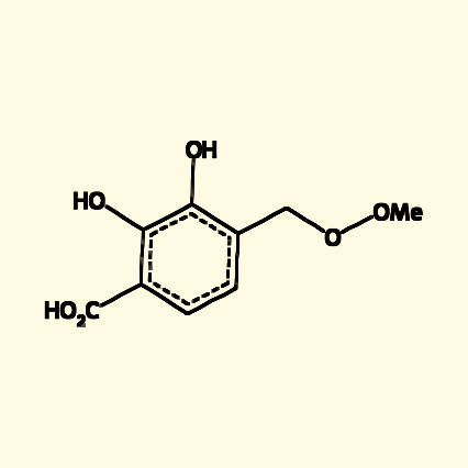 COOCc1ccc(C(=O)O)c(O)c1O